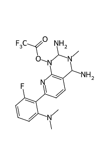 CN(C)c1cccc(F)c1-c1ccc2c(n1)N(OC(=O)C(F)(F)F)C(N)N(C)C2N